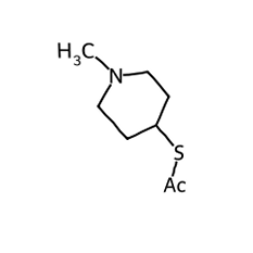 CC(=O)SC1CCN(C)CC1